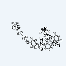 O=C(Nc1cccc(C(O)(C(=O)OC2CN3CCC2CC3)c2ccccc2)c1)c1ccc(OCCCCC2OCCO2)cc1